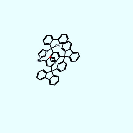 CC(C)(C)c1ccnc(C2(c3cccc(C4(c5cccc(C(O)(c6ccccc6-c6ccccc6)n6ccnc6)c5)c5ccccc5-c5ccccc54)c3)c3ccccc3-c3ccccc32)c1